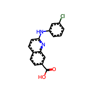 O=C(O)c1ccc2ccc(Nc3cccc(Cl)c3)nc2c1